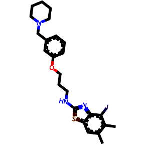 Cc1cc2sc(NCCCOc3cccc(CN4CCCCC4)c3)nc2c(I)c1C